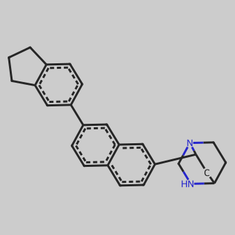 c1cc2c(cc1-c1ccc3ccc(C4CC5CCN4CN5)cc3c1)CCC2